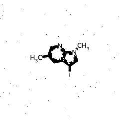 Cc1cnc2c(c1)c(I)cn2C